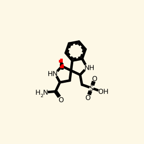 NC(=O)C1CC2(c3ccccc3NC2CS(=O)(=O)O)C2(CCCCC2)N1